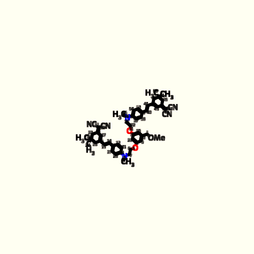 COCc1cc(OCCN(C)c2ccc(/C=C/C3=CC(=C(C#N)C#N)CC(C)(C)C3)cc2)cc(OCCN(C)c2ccc(/C=C/C3=CC(=C(C#N)C#N)CC(C)(C)C3)cc2)c1